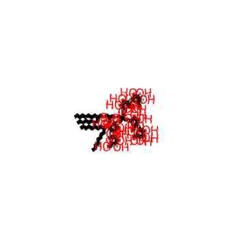 CCCCCCCCC(CCCCCCCC)COCC(COCC(CCCCCCCC)CCCCCCCC)COCC(CO[C@@H]1OC(CO)[C@@H](O[C@@H]2OC(CO)[C@@H](O)C(O)C2O)C(O)C1O)(CO[C@@H]1OC(CO)[C@@H](O[C@H]2OC(CO)[C@@H](O)[C@H](O)C2O)C(O)C1O)CO[C@@H]1OC(CO)[C@H](O[C@H]2OC(CO)[C@@H](O)C(O)C2O)C(O)C1O